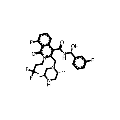 C[C@@H]1CN[C@@H](C)CN1Cc1c(C(=O)N[C@@H](O)c2cccc(F)c2)c2cccc(F)c2c(=O)n1CCC(F)(F)F